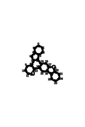 c1ccc2c(c1)cc1c3cccoc3c3cc4c(cc3c21)oc1ccccc14